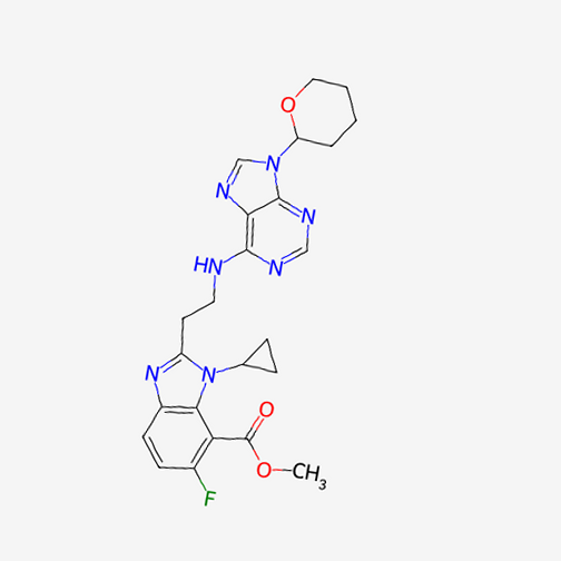 COC(=O)c1c(F)ccc2nc(CCNc3ncnc4c3ncn4C3CCCCO3)n(C3CC3)c12